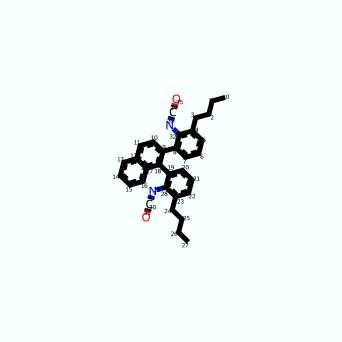 CCCCc1cccc(-c2ccc3ccccc3c2-c2cccc(CCCC)c2N=C=O)c1N=C=O